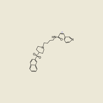 O=C(/C=C\c1cccnc1)NCCCCN1CCC(S(=O)(=O)c2ccc3ccccc3c2)CC1